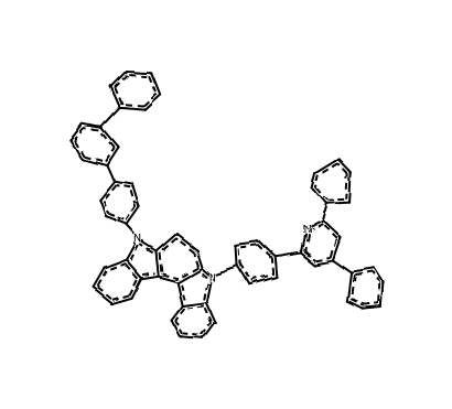 c1ccc(-c2cccc(-c3ccc(-n4c5ccccc5c5c6c7ccccc7n(-c7ccc(-c8cc(-c9ccccc9)cc(-c9ccccc9)n8)cc7)c6ccc54)cc3)c2)cc1